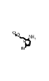 Nc1ccc(Br)nc1CCOC=O